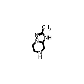 CC1=NN2CCNCC2N1